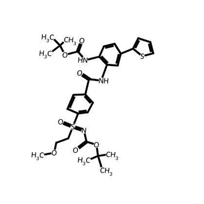 COCCS(=O)(=NC(=O)OC(C)(C)C)c1ccc(C(=O)Nc2cc(-c3cccs3)ccc2NC(=O)OC(C)(C)C)cc1